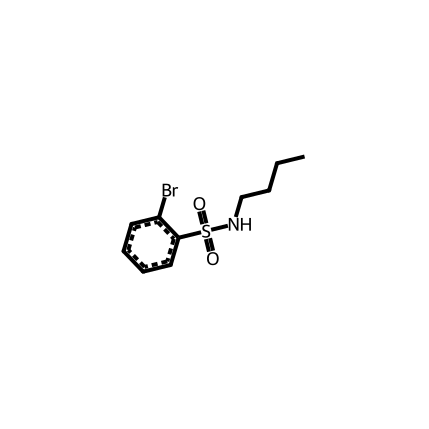 CCCCNS(=O)(=O)c1ccccc1Br